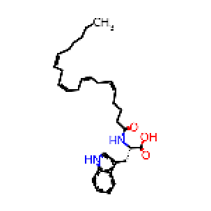 CCCCC/C=C\C/C=C\C/C=C\C/C=C\CCCC(=O)N[C@@H](Cc1c[nH]c2ccccc12)C(=O)O